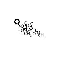 [C-]#[N+][C@@]1(C(=O)OCc2ccccc2)N2C(=O)[C@H](CC(=O)OC)[C@H]2SC1(C)C